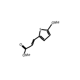 COC(=O)/C=C/c1ccc(OC)s1